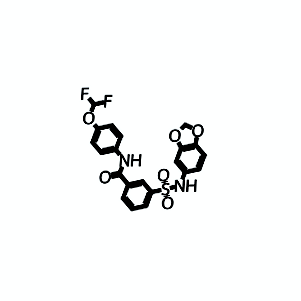 O=C(Nc1ccc(OC(F)F)cc1)c1cccc(S(=O)(=O)Nc2ccc3c(c2)OCO3)c1